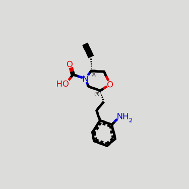 C#C[C@@H]1CO[C@H](CCc2ccccc2N)CN1C(=O)O